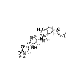 Cc1ccc(C(=O)NC2CC2)cc1-c1cnn(-c2cncc(NCCN3CCOC3=O)c2)c1